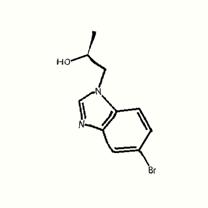 C[C@H](O)Cn1cnc2cc(Br)ccc21